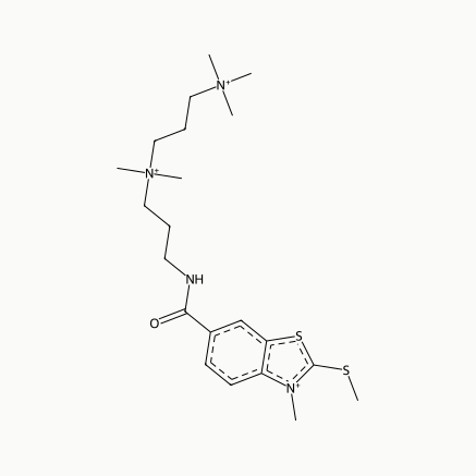 CSc1sc2cc(C(=O)NCCC[N+](C)(C)CCC[N+](C)(C)C)ccc2[n+]1C